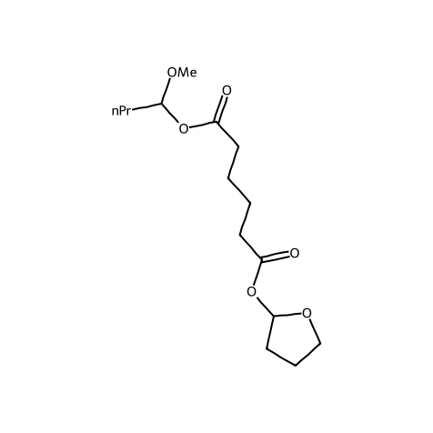 CCCC(OC)OC(=O)CCCCC(=O)OC1CCCO1